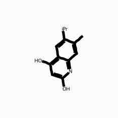 Cc1cc2nc(O)cc(O)c2cc1C(C)C